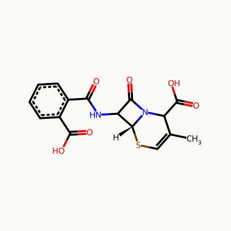 CC1=CS[C@@H]2C(NC(=O)c3ccccc3C(=O)O)C(=O)N2C1C(=O)O